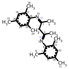 C/C(C/C(C)=N/c1c(C)cc(C)cc1C)=N/c1c(C)cc(C)cc1C